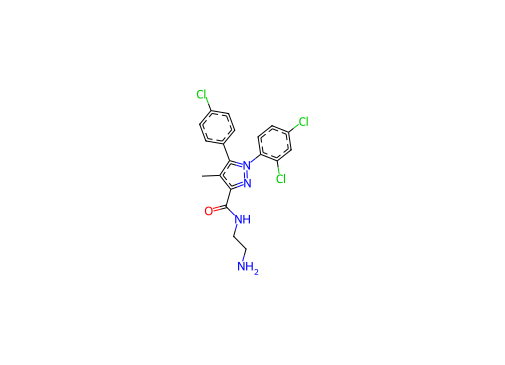 Cc1c(C(=O)NCCN)nn(-c2ccc(Cl)cc2Cl)c1-c1ccc(Cl)cc1